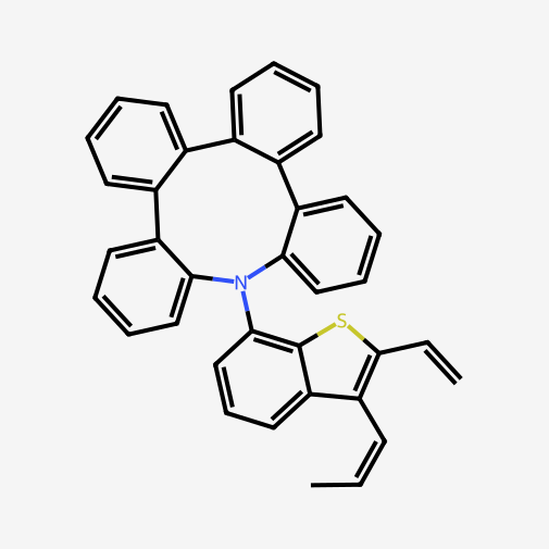 C=Cc1sc2c(-n3c4ccccc4c4ccccc4c4ccccc4c4ccccc43)cccc2c1/C=C\C